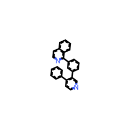 c1ccc(-c2ccncc2-c2cccc(-c3nccc4ccccc34)c2)cc1